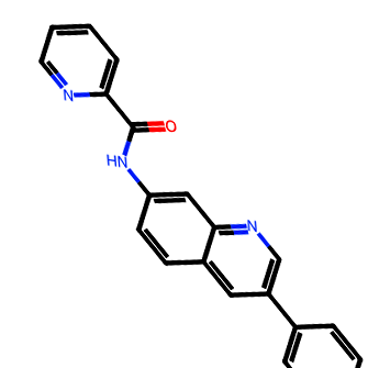 O=C(Nc1ccc2cc(-c3ccccc3)cnc2c1)c1ccccn1